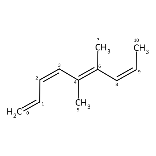 C=C\C=C/C(C)=C(C)/C=C\C